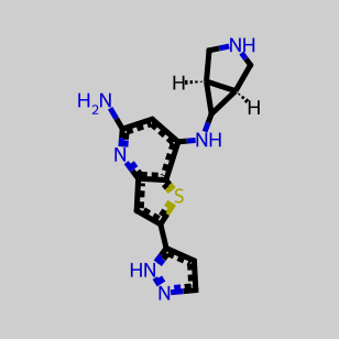 Nc1cc(NC2[C@H]3CNC[C@@H]23)c2sc(-c3ccn[nH]3)cc2n1